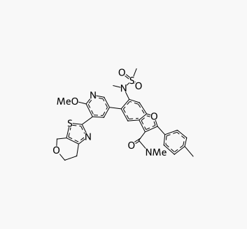 CNC(=O)c1c(-c2ccc(C)cc2)oc2cc(N(C)S(C)(=O)=O)c(-c3cnc(OC)c(-c4nc5c(s4)COCC5)c3)cc12